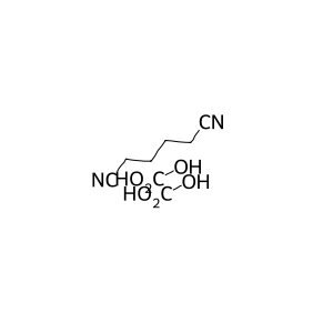 N#CCCCCC#N.O=C(O)O.O=C(O)O